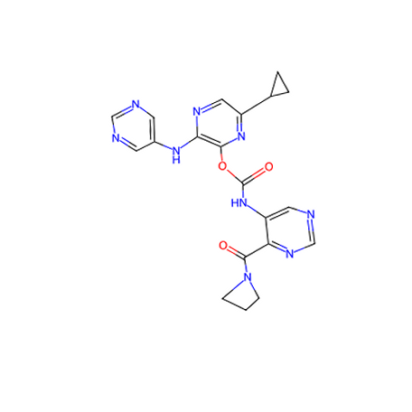 O=C(Nc1cncnc1C(=O)N1CCC1)Oc1nc(C2CC2)cnc1Nc1cncnc1